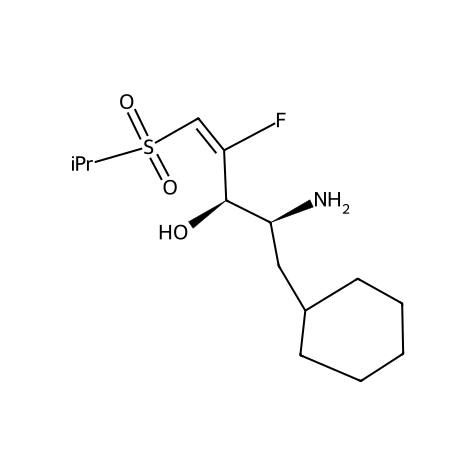 CC(C)S(=O)(=O)/C=C(/F)[C@H](O)[C@@H](N)CC1CCCCC1